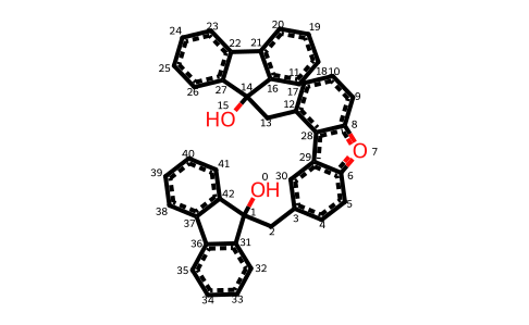 OC1(Cc2ccc3oc4cccc(CC5(O)c6ccccc6-c6ccccc65)c4c3c2)c2ccccc2-c2ccccc21